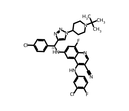 CC(C)(C)N1CCC(n2cc([C@@H](Nc3cc(F)c4ncc(C#N)c(Nc5ccc(F)c(Cl)c5)c4c3)c3ccc(Cl)cc3)nn2)CC1